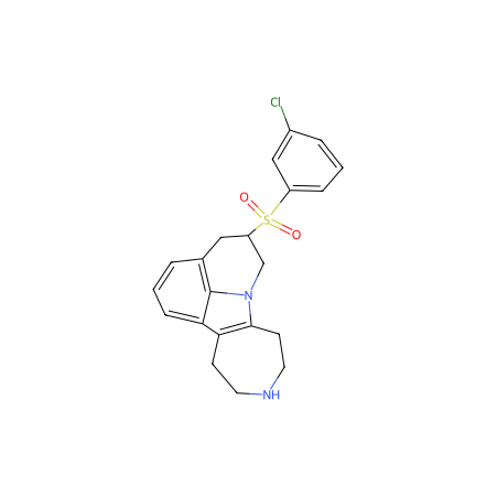 O=S(=O)(c1cccc(Cl)c1)C1Cc2cccc3c4c(n(c23)C1)CCNCC4